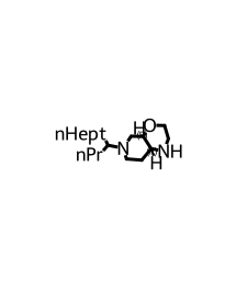 CCCCCCCC(CCC)N1CC[C@H]2NCCO[C@@H]2C1